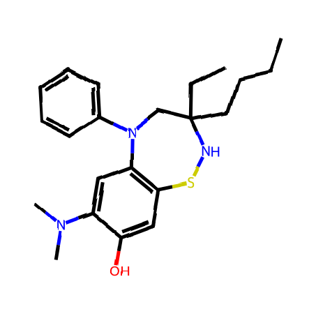 CCCCC1(CC)CN(c2ccccc2)c2cc(N(C)C)c(O)cc2SN1